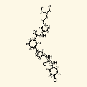 CCN(CC)CCn1cc(NC(=O)c2cccc(-n3cc(NC(=O)Nc4ccc(Cl)cc4)cn3)c2)cn1